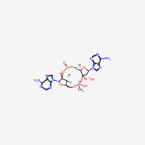 C[PH]1(O)OC[C@H]2O[C@@H](n3cnc4c(N)ncnc43)[C@H](OS(=O)OC[C@H]3O[C@@H](n4cnc5c(N)ncnc54)[C@H](O)[C@@H]3O1)[C@H]2F